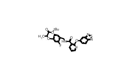 CC(Oc1ccc(CNC(=O)c2cccnc2Oc2ccc3nsnc3c2)c(F)c1)C(=O)OC(C)(C)C